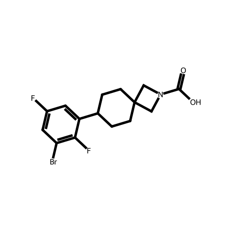 O=C(O)N1CC2(CCC(c3cc(F)cc(Br)c3F)CC2)C1